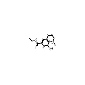 CCOC(=O)c1cc2c(c(O)n1)N(C)CC=C2